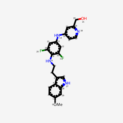 COc1ccc2c(CCNc3c(F)cc(Nc4ccnc(CO)c4)cc3F)c[nH]c2c1